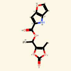 Cc1oc(=O)oc1C(OC(=O)c1cc2occc2[nH]1)C(C)C